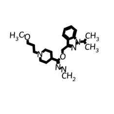 C=N/N=C(\OCc1nn(C(C)C)c2ccccc12)C1CCN(CCCOC)CC1